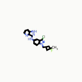 CC1(F)CC(Cn2nc(Cl)c3cc(Nc4n[nH]c5cccnc45)ccc32)C1